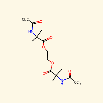 CC(C)(NC(=O)C(Cl)(Cl)Cl)C(=O)OCCOC(=O)C(C)(C)NC(=O)C(Cl)(Cl)Cl